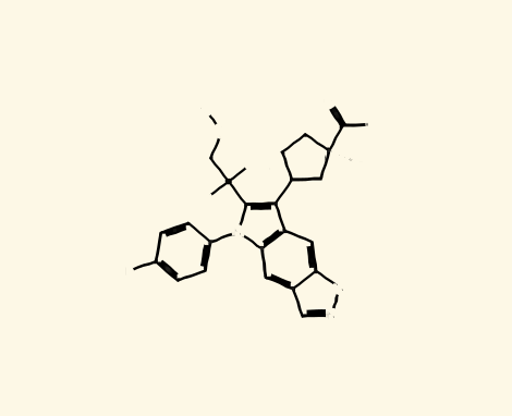 COCC(C)(C)c1c(C2CC[C@@](O)(C(=O)O)C2)c2cc3[nH]ncc3cc2n1-c1ccc(F)cc1